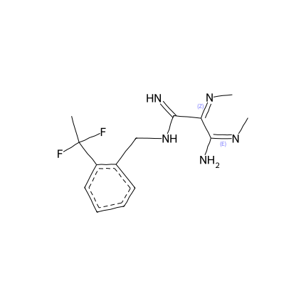 C/N=C(C(=N)NCc1ccccc1C(C)(F)F)\C(N)=N/C